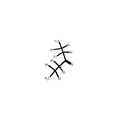 CCC(C)(CC)C(CC)(C(=O)C(CC)(C(C)C)C(C)(CC)CC)C(C)C